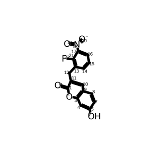 O=c1oc2cc(O)ccc2cc1Cc1cccc([N+](=O)[O-])c1F